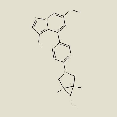 CCOc1cc(-c2ccc(N3C[C@@H]4[C@H](N)[C@@H]4C3)nc2)c2c(C#N)cnn2c1